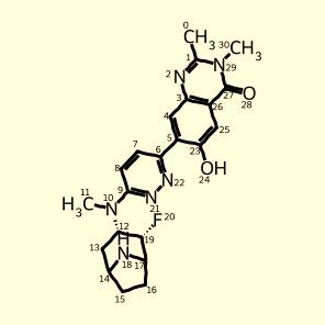 Cc1nc2cc(-c3ccc(N(C)[C@H]4CC5CCC(N5)[C@H]4F)nn3)c(O)cc2c(=O)n1C